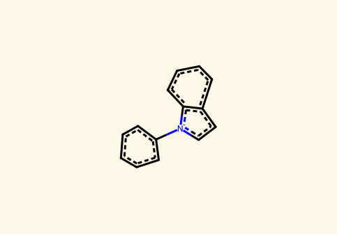 c1ccc(-n2ccc3ccccc32)cc1